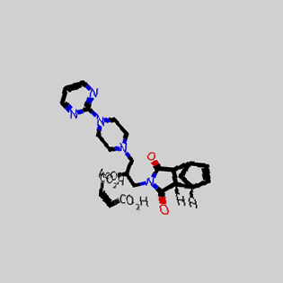 CC(=O)OC(CN1CCN(c2ncccn2)CC1)CN1C(=O)C2C3C=C[C@@H](C3)[C@@H]2C1=O.O=C(O)/C=C\C(=O)O